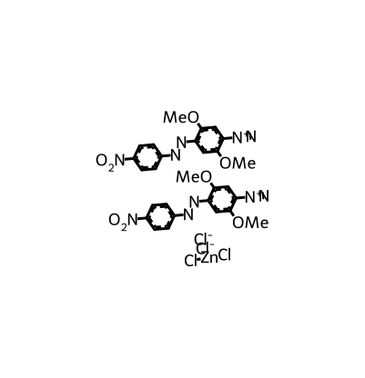 COc1cc([N+]#N)c(OC)cc1N=Nc1ccc([N+](=O)[O-])cc1.COc1cc([N+]#N)c(OC)cc1N=Nc1ccc([N+](=O)[O-])cc1.[Cl-].[Cl-].[Cl][Zn][Cl]